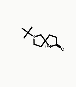 CC(C)(C)N1CCC2(CCC(=O)N2)C1